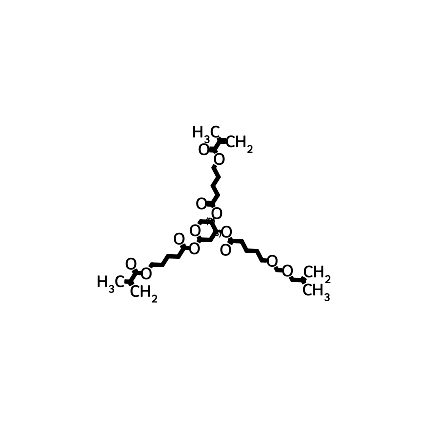 C=C(C)COCOCCCCC(=O)O[C@H]1CC(OC(=O)CCCCOC(=O)C(=C)C)OC[C@H]1OC(=O)CCCCOC(=O)C(=C)C